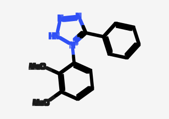 COc1cccc(-[n+]2[nH]nnc2-c2ccccc2)c1OC